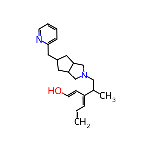 C=C/C=C(\C=C\O)C(C)CN1CC2CC(Cc3ccccn3)CC2C1